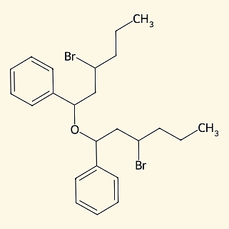 CCCC(Br)CC(OC(CC(Br)CCC)c1ccccc1)c1ccccc1